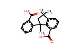 CC1(C)CC(C)(c2ccccc2C(=O)O)c2c(C(=O)O)cccc21